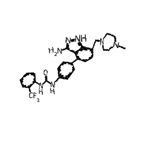 CN1CCN(Cc2ccc(-c3ccc(NC(=O)Nc4ccccc4C(F)(F)F)cc3)c3c(N)n[nH]c23)CC1